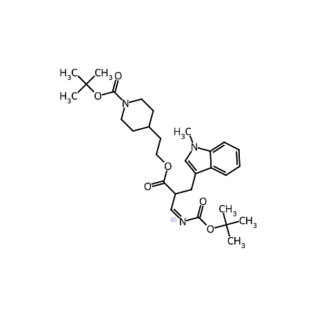 Cn1cc(CC(/C=N\C(=O)OC(C)(C)C)C(=O)OCCC2CCN(C(=O)OC(C)(C)C)CC2)c2ccccc21